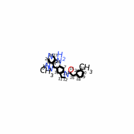 CCn1nc(-c2ccc3c(c2)CCN3C(=O)Cc2cccc(C)c2)c2c(N)cncc21